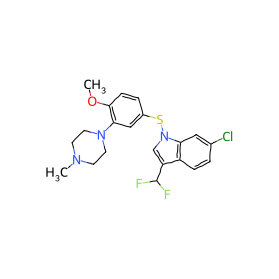 COc1ccc(Sn2cc(C(F)F)c3ccc(Cl)cc32)cc1N1CCN(C)CC1